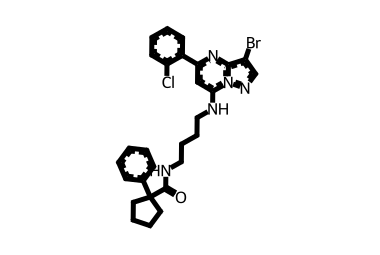 O=C(NCCCCNc1cc(-c2ccccc2Cl)nc2c(Br)cnn12)C1(c2ccccc2)CCCC1